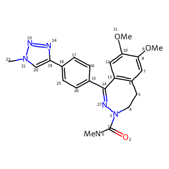 CNC(=O)N1CCc2cc(OC)c(OC)cc2C(c2ccc(-c3cn(C)nn3)cc2)=N1